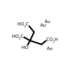 O=C(O)CC(O)(CC(=O)O)C(=O)O.[Au].[Au].[Au]